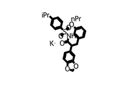 CCCOc1cccc(CC(C(=O)NS(=O)(=O)c2ccc(C(C)C)cc2)c2ccc3c(c2)OCO3)c1.[K]